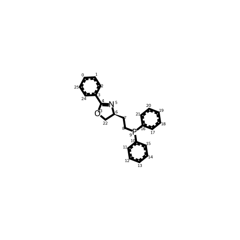 c1ccc(C2=N[C@@H](CCP(c3ccccc3)c3ccccc3)CO2)cc1